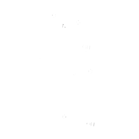 O=C(O)CCC(=O)c1cccc([N+](=O)[O-])c1O